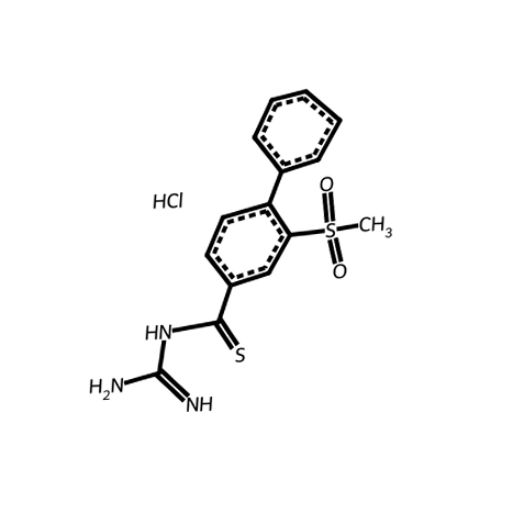 CS(=O)(=O)c1cc(C(=S)NC(=N)N)ccc1-c1ccccc1.Cl